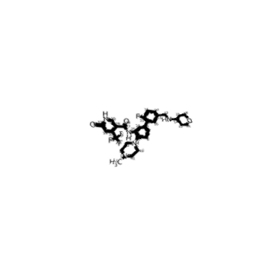 CN1CCN(c2ccc(-c3cc(CNC4CCOCC4)ccc3F)cc2NC(=O)c2c[nH]c(=O)cc2C(F)(F)F)CC1